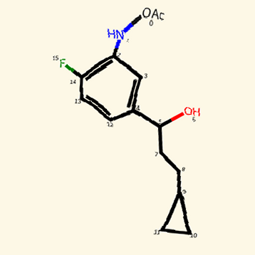 CC(=O)ONc1cc(C(O)CCC2CC2)ccc1F